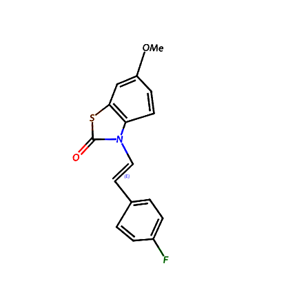 COc1ccc2c(c1)sc(=O)n2/C=C/c1ccc(F)cc1